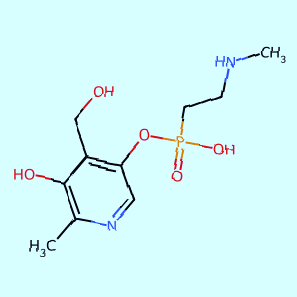 CNCCP(=O)(O)Oc1cnc(C)c(O)c1CO